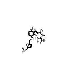 CN(C)Cc1ccc(COc2ccc(C(F)(F)F)c3cc(C(=O)N(C)C(=N)N)[nH]c23)o1